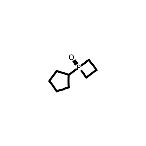 O=P1(C2CCCC2)CCC1